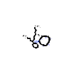 CCCCCCCC(CCCC)C1CCCCCC1NC1=C/C=C\C=C/C=C\C=C/C(C)=C\1